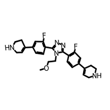 COCCn1c(-c2ccc(C3=CCNCC3)cc2F)nnc1-c1ccc(C2=CCNCC2)cc1F